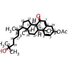 CC(=O)O[C@H]1C=C[C@@]2(C)C(=CC(=O)[C@H]3[C@@H]4CC[C@H]([C@H](C)CCCC(C)(C)O)[C@@]4(C)CC[C@@H]32)C1